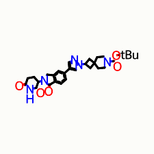 CC(C)(C)OC(=O)N1CCC2(CC1)CC(n1cc(-c3ccc4c(c3)CN(C3CCC(=O)NC3=O)C4=O)cn1)C2